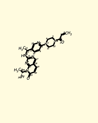 C=CC(=O)N1CCN(c2ccc([C@H](C)Nc3ncc4ccc(=O)n([C@@H](C)C(C)C)c4n3)cn2)CC1